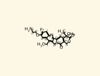 CCc1c2c(nc3cc(F)c(OCCN)cc13)-c1cc3c(c(=O)n1C2)COC(=O)[C@]3(O)CC